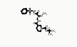 CO[C@@H](CNC(=O)C1CCCN(C(=O)OC(C)(C)C)C1)C(=O)ONS(=O)(=O)c1ccccc1